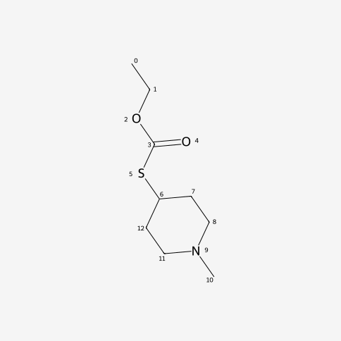 CCOC(=O)SC1CCN(C)CC1